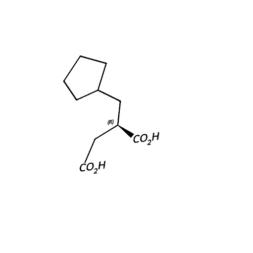 O=C(O)C[C@@H](CC1CCCC1)C(=O)O